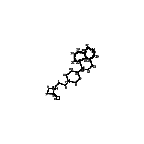 O=C1CCN1CCN1CCC(N2CCc3cncc4cccc2c34)CC1